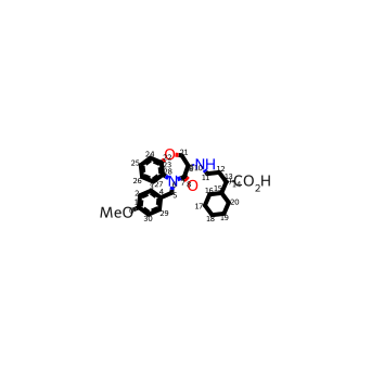 COc1ccc(CN2C(=O)[C@@H](NCC[C@H](C(=O)O)C3CCCCC3)COc3ccccc32)cc1